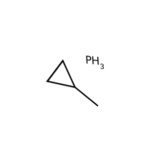 CC1CC1.P